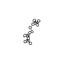 O=c1c2ccc(-c3cccc(-c4cccc5cc(-n6c7ccccc7c7c8c9ccccc9n(-c9ccccc9)c8ccc76)ccc45)c3)cc2c2cccc3c4ccccc4n1c23